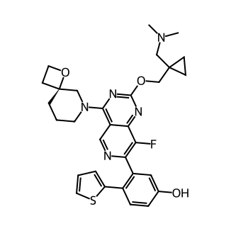 CN(C)CC1(COc2nc(N3CCC[C@]4(CCO4)C3)c3cnc(-c4cc(O)ccc4-c4cccs4)c(F)c3n2)CC1